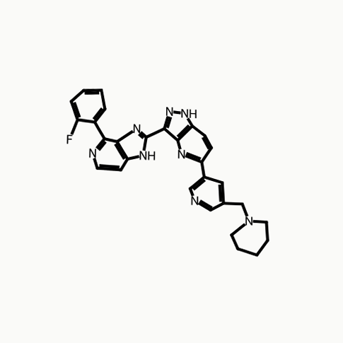 Fc1ccccc1-c1nccc2[nH]c(-c3n[nH]c4ccc(-c5cncc(CN6CCCCC6)c5)nc34)nc12